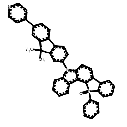 CC1(C)c2cc(-c3ccncc3)ccc2-c2ccc(-n3c4ccccc4c4c5c(ccc43)-c3ccccc3P5(=O)c3ccccc3)cc21